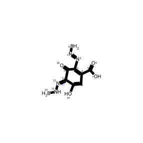 BN=NC1=C(C(=O)O)C=C(O)/C(=N\NB)C1=O